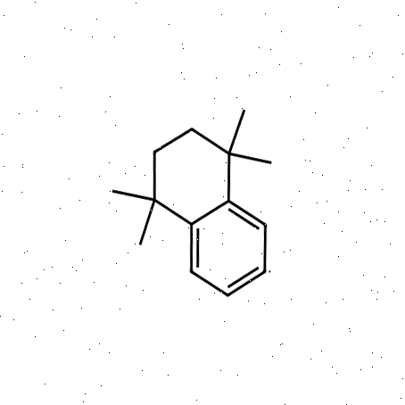 CC1(C)CCC(C)(C)c2cc[c]cc21